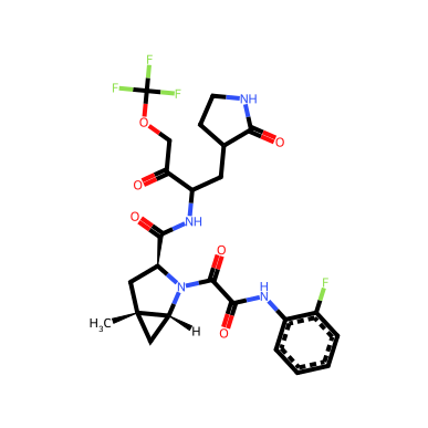 C[C@@]12C[C@@H](C(=O)NC(CC3CCNC3=O)C(=O)COC(F)(F)F)N(C(=O)C(=O)Nc3ccccc3F)[C@@H]1C2